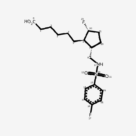 O=C(O)CCCCC[C@@H]1[C@@H](CNS(=O)(=O)c2ccc(F)cc2)CC[C@H]1F